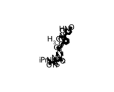 CC(C)NC(=O)c1nsc(C(=O)N2CCN(C(=O)COc3cccc4c(C5CCC(=O)NC5=O)nn(C)c34)CC2)c1N